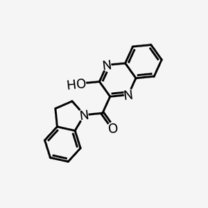 O=C(c1nc2ccccc2nc1O)N1CCc2ccccc21